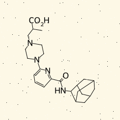 CC(CN1CCN(c2cccc(C(=O)NC3C4CC5CC(C4)CC3C5)n2)CC1)C(=O)O